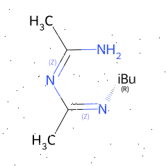 CC[C@@H](C)/N=C(C)\N=C(\C)N